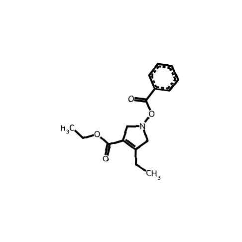 CCOC(=O)C1=C(CC)CN(OC(=O)c2ccccc2)C1